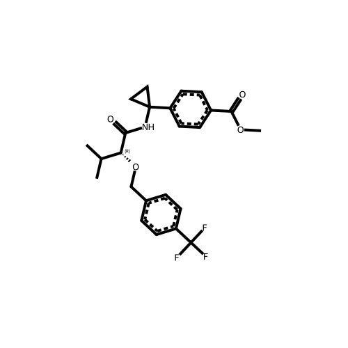 COC(=O)c1ccc(C2(NC(=O)[C@H](OCc3ccc(C(F)(F)F)cc3)C(C)C)CC2)cc1